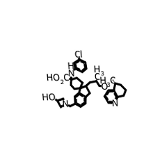 C[C@@H](COc1ccnc2c1[C@H](C)CCC2)CC1Cc2ccc(CN3CC(O)C3)cc2C12CCC(Nc1cccc(Cl)c1)(C(=O)O)CC2